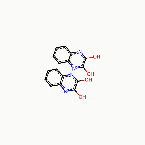 Oc1nc2ccccc2nc1O.Oc1nc2ccccc2nc1O